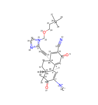 [C-]#[N+]C1=C[C@]2(C)C3=CC(=O)C(C#N)=C[C@]3(C#Cc3nccn3COCC[Si](C)(C)C)CC[C@H]2C(C)(C)C1=O